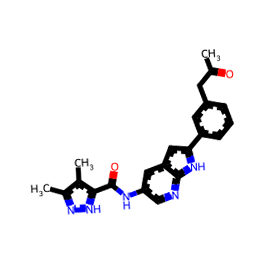 CC(=O)Cc1cccc(-c2cc3cc(NC(=O)c4[nH]nc(C)c4C)cnc3[nH]2)c1